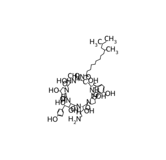 CCC(C)CC(C)CCCCCCCCC(=O)N[C@H]1C[C@@H](O)[C@@H](Sc2ccc(O)cc2)NC(=O)[C@@H]2[C@@H](O)CCN2C(=O)[C@H]([C@H](O)CCN)NC(=O)[C@H]([C@H](O)[C@@H](O)c2ccc(O)cc2)NC(=O)[C@@H]2C[C@@H](O)CN2C(=O)[C@H]([C@@H](C)O)NC1=O